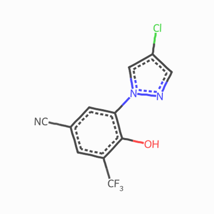 N#Cc1cc(-n2cc(Cl)cn2)c(O)c(C(F)(F)F)c1